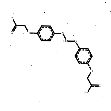 CCC(=O)COc1ccc(OBOc2ccc(OCC(=O)CC)cc2)cc1